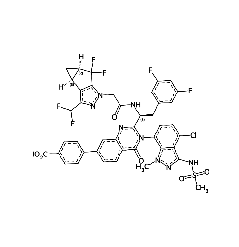 Cn1nc(NS(C)(=O)=O)c2c(Cl)ccc(-n3c([C@H](Cc4cc(F)cc(F)c4)NC(=O)Cn4nc(C(F)F)c5c4C(F)(F)[C@@H]4C[C@H]54)nc4cc(-c5ccc(C(=O)O)cc5)ccc4c3=O)c21